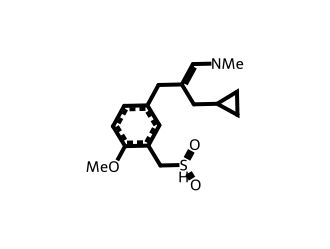 CNC=C(Cc1ccc(OC)c(C[SH](=O)=O)c1)CC1CC1